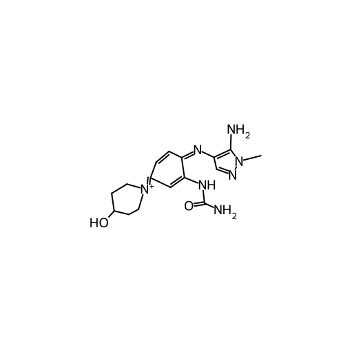 Cn1ncc(/N=C2/C=CC(=[N+]3CCC(O)CC3)C=C2NC(N)=O)c1N